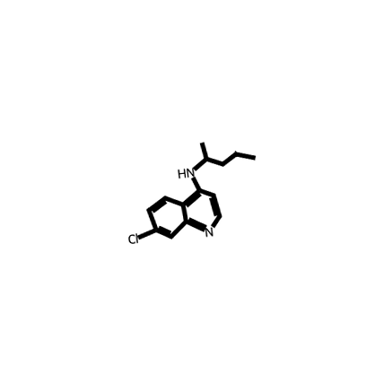 C[CH]CC(C)Nc1ccnc2cc(Cl)ccc12